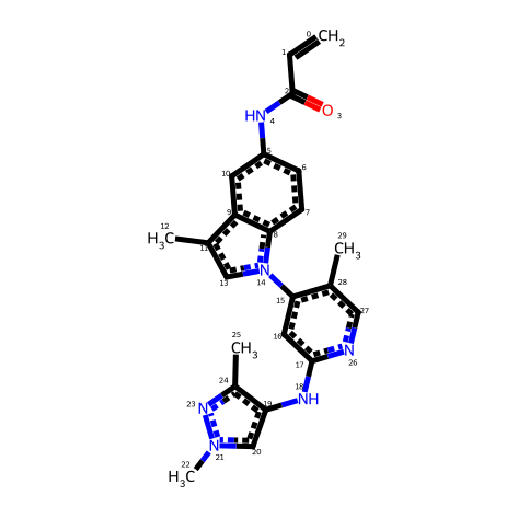 C=CC(=O)Nc1ccc2c(c1)c(C)cn2-c1cc(Nc2cn(C)nc2C)ncc1C